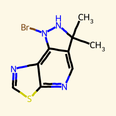 CC1(C)NN(Br)c2c1cnc1scnc21